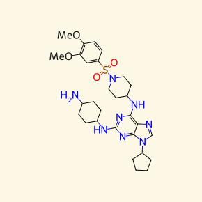 COc1ccc(S(=O)(=O)N2CCC(Nc3nc(NC4CCC(N)CC4)nc4c3ncn4C3CCCC3)CC2)cc1OC